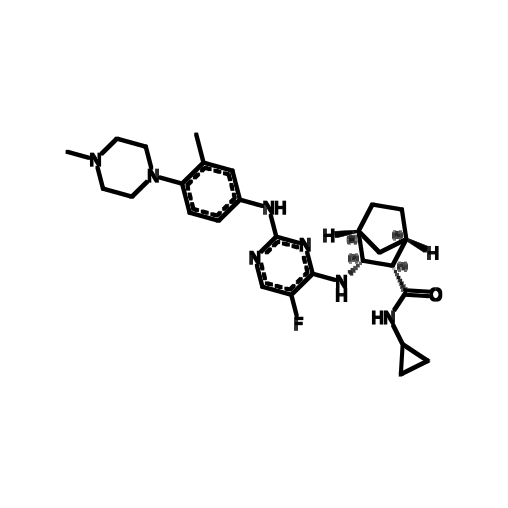 Cc1cc(Nc2ncc(F)c(N[C@@H]3[C@@H]4CC[C@@H](C4)[C@@H]3C(=O)NC3CC3)n2)ccc1N1CCN(C)CC1